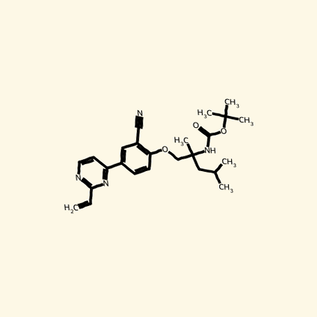 C=Cc1nccc(-c2ccc(OCC(C)(CC(C)C)NC(=O)OC(C)(C)C)c(C#N)c2)n1